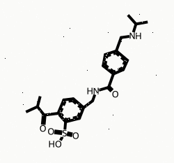 CC(C)NCc1ccc(C(=O)NCc2ccc(C(=O)C(C)C)c(S(=O)(=O)O)c2)cc1